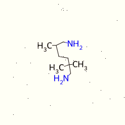 CC(CN)CCC(C)(C)CN